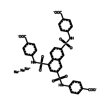 O=C([O-])c1ccc(NS(=O)(=O)c2ccc3c(S(=O)(=O)Nc4ccc(C(=O)[O-])cc4)cc(S(=O)(=O)Nc4ccc(C(=O)[O-])cc4)cc3c2)cc1.[Na+].[Na+].[Na+]